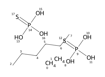 C.C.CCCCCC.OP(O)(O)=S.OP(O)(O)=S